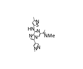 CN[C@@H](C)c1cn2c(-c3cnn(C)c3)cnc2c(Nc2cc(C)ns2)n1